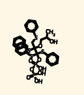 CC(O)COC(CSc1ccccc1)(Sc1ccccc1)C(OP(=O)(O)OP(=O)(O)O)(Sc1ccccc1)Sc1ccccc1